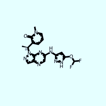 C[C@@H](c1cccn(C)c1=O)n1ncc2ncc(Nc3cc(OC(F)F)[nH]n3)nc21